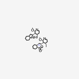 COc1nccc(I)c1-c1cc2ccccc2[nH]1.COc1nccc(I)c1/C=C/c1ccccc1[N+](=O)[O-]